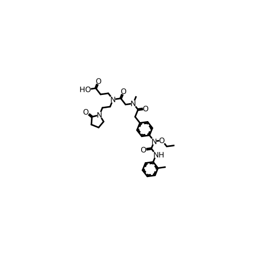 CCON(C(=O)Nc1ccccc1C)c1ccc(CC(=O)N(C)CC(=O)N(CCC(=O)O)CCN2CCCC2=O)cc1